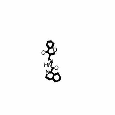 O=C(N/N=C/c1coc2ccccc2c1=O)c1nccc2ccccc12